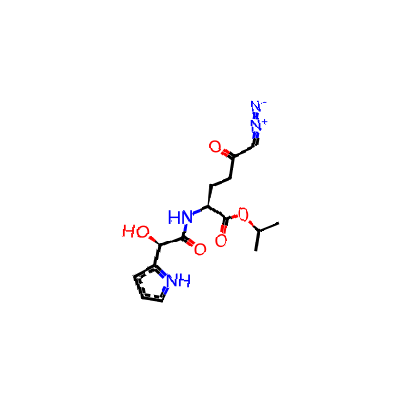 CC(C)OC(=O)[C@H](CCC(=O)C=[N+]=[N-])NC(=O)[C@H](O)c1ccc[nH]1